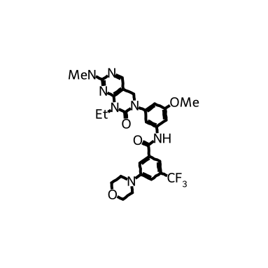 CCN1C(=O)N(c2cc(NC(=O)c3cc(N4CCOCC4)cc(C(F)(F)F)c3)cc(OC)c2)Cc2cnc(NC)nc21